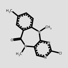 Cc1ccc2c(c1)C(=O)N(C)c1cnc(Cl)nc1N2C